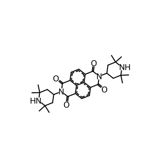 CC1(C)CC(N2C(=O)c3ccc4c5c(ccc(c35)C2=O)C(=O)N(C2CC(C)(C)NC(C)(C)C2)C4=O)CC(C)(C)N1